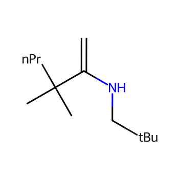 C=C(NCC(C)(C)C)C(C)(C)CCC